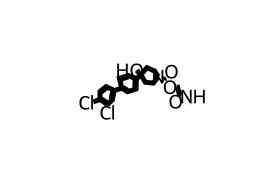 CNC(=O)COC(=O)N1CCC(O)(c2ccc(-c3ccc(Cl)c(Cl)c3)cc2)CC1